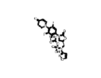 CNC(=O)OP(=O)(O)N(C[C@H]1CN(c2cc(F)c(N3C=CC(=O)CC3)c(F)c2F)C(=O)O1)c1ccon1